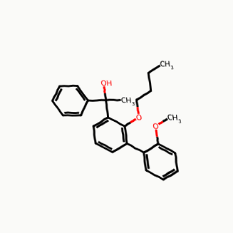 CCCCOc1c(-c2ccccc2OC)cccc1C(C)(O)c1ccccc1